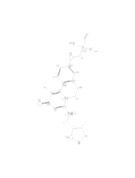 Cc1c2n(c(NC[C@@H]3CCCO3)cc1=O)CCc1cc(OCC(F)(F)F)ccc1-2